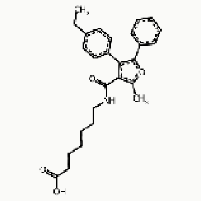 CCc1ccc(-c2c(-c3ccccc3)oc(C)c2C(=O)NCCCCCCC(=O)O)cc1